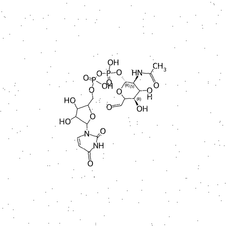 CC(=O)N[C@H]1C(O)[C@@H](O)C(C=O)O[C@@H]1OP(=O)(O)OP(=O)(O)OCC1OC(n2ccc(=O)[nH]c2=O)C(O)C1O